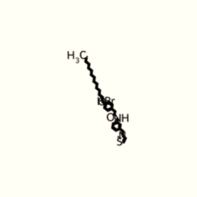 Br.CCCCCCCCCCCCCCOc1ccc(CC(=O)Nc2cccc(CN3C=CSC3)c2)cc1